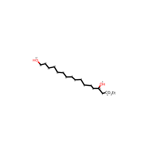 CCOC(=O)CC(O)CCCCCCCCCCCCCO